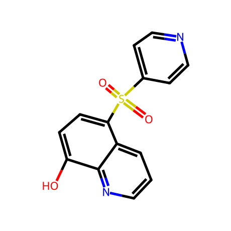 O=S(=O)(c1ccncc1)c1ccc(O)c2ncccc12